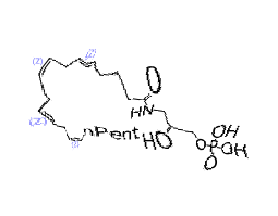 CCCCC/C=C\C/C=C\C/C=C\C/C=C\CCCC(=O)NCC(O)COP(=O)(O)O